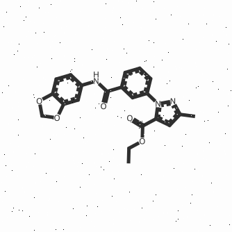 CCOC(=O)c1cc(C)nn1-c1cccc(C(=O)Nc2ccc3c(c2)OCO3)c1